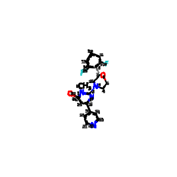 Cn1c(N2CCO[C@@H](c3c(F)cccc3F)C2)nc(-c2ccncc2)cc1=O